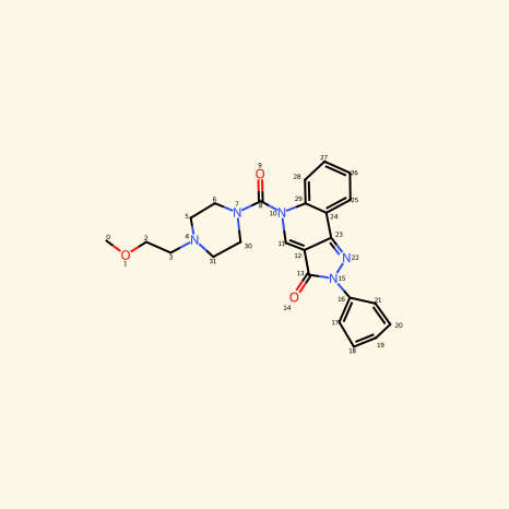 COCCN1CCN(C(=O)n2cc3c(=O)n(-c4ccccc4)nc-3c3ccccc32)CC1